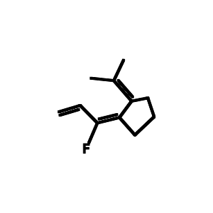 C=C/C(F)=C1/CCCC1=C(C)C